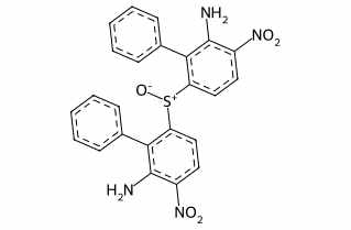 Nc1c([N+](=O)[O-])ccc([S+]([O-])c2ccc([N+](=O)[O-])c(N)c2-c2ccccc2)c1-c1ccccc1